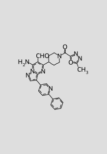 Cc1nnc(C(=O)N2CCC(c3nc4c(-c5ccc(-c6ccccc6)nc5)cnn4c(N)c3C=O)CC2)o1